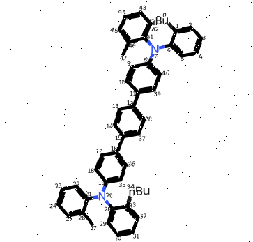 CCCCc1ccccc1N(c1ccc(-c2ccc(-c3ccc(N(c4ccccc4C)c4ccccc4CCCC)cc3)cc2)cc1)c1ccccc1C